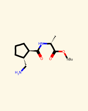 CCCCOC(=O)[C@@H](C)NC(=O)[C@@H]1CCC[C@H]1CN